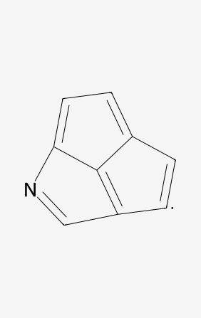 [C]1=CC2=CC=C3N=CC1=C23